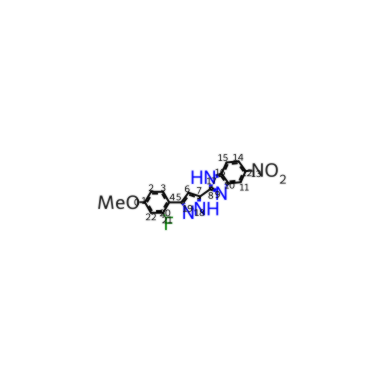 COc1ccc(-c2cc(-c3nc4cc([N+](=O)[O-])ccc4[nH]3)[nH]n2)c(F)c1